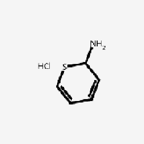 Cl.NC1C=CC=CS1